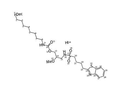 CCCCCCCCCCCCCCCCCCNC(=O)OCC(CNS(=O)(=O)CCCCc1nc2ccccc2s1)OC.I